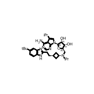 CC(C)c1cn([C@@H]2O[C@H](CN(C(C)C)[C@H]3C[C@H](CCc4nc5cc(C(C)(C)C)ccc5[nH]4)C3)[C@@H](O)[C@H]2O)c2ncnc(N)c12